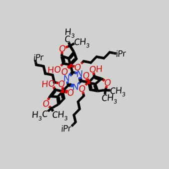 CC(C)CCCCCOC(=O)c1c2cc(-c3nc(-c4cc5c(C(=O)OCCCCCC(C)C)c(c4O)OC5(C)C)nc(-c4cc5c(C(=O)OCCCCCC(C)C)c(c4O)OC5(C)C)n3)c(O)c1OC2(C)C